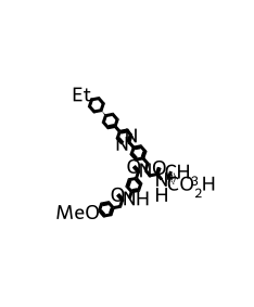 CC[C@H]1CC[C@H](C2CC=C(c3cnc(-c4ccc(CN(CC(=O)N[C@H](C)C(=O)O)C(=O)c5ccc(NC(=O)Cc6ccc(OC)cc6)cc5)cc4)nc3)CC2)CC1